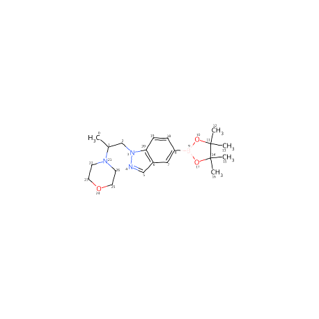 CC(Cn1ncc2cc(B3OC(C)(C)C(C)(C)O3)ccc21)N1CCOCC1